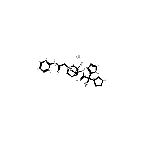 O=C(C[N+]12CCC(CC1)[C@@H](OC(=O)C(O)(c1cccs1)C1CCCC1)C2)Nc1ncccn1.[Br-]